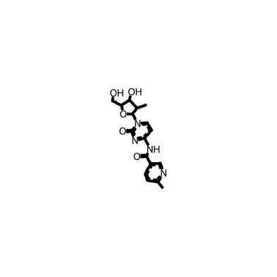 Cc1ccc(C(=O)Nc2ccn(C3OC(CO)C(O)C3C)c(=O)n2)cn1